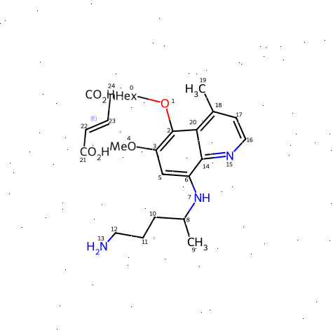 CCCCCCOc1c(OC)cc(NC(C)CCCN)c2nccc(C)c12.O=C(O)/C=C/C(=O)O